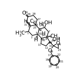 CC1C[C@@H]2[C@H](C(O)C[C@@]3(C)[C@H]2CC[C@]3(O)C2(Oc3ccccc3)CO2)[C@@]2(C)CCC(=O)C=C12